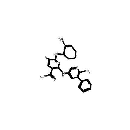 Cc1ncc(Nc2nc(NC3CCCC[C@@H]3N)c(F)cc2C(N)=O)cc1-c1ccccc1